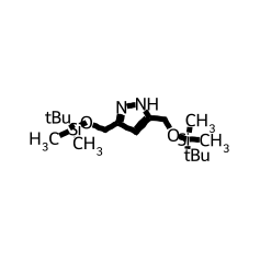 CC(C)(C)[Si](C)(C)OCc1cc(CO[Si](C)(C)C(C)(C)C)[nH]n1